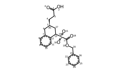 O=C(O)CC[C@@H]1Cc2ccccc2C(S(=O)(=O)C(=O)OCc2ccccc2)C1